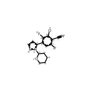 N#Cc1c(F)cc(-c2ccnn2C2CCCCO2)c(F)c1Cl